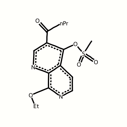 CCCC(=O)c1cnc2c(OCC)nccc2c1OS(C)(=O)=O